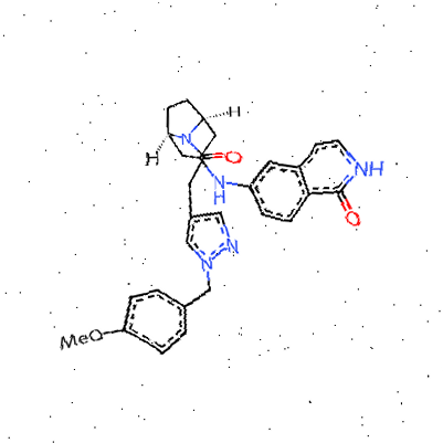 COc1ccc(Cn2cc(CC(=O)N3[C@@H]4CC[C@H]3CC(Nc3ccc5c(=O)[nH]ccc5c3)C4)cn2)cc1